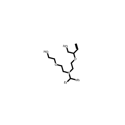 C=CC(CO)OCCN(CCOCCO)C(CC)CCC